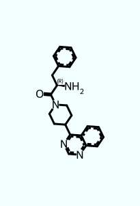 N[C@H](Cc1ccccc1)C(=O)N1CCC(c2ncnc3ccccc23)CC1